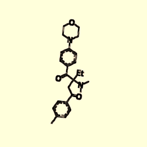 CCC(CC(=O)c1ccc(C)cc1)(C(=O)c1ccc(N2CCOCC2)cc1)N(C)C